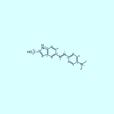 CN(C)c1ccc(/N=N/c2ccc3[nH]c(C(=O)O)cc3c2)cc1